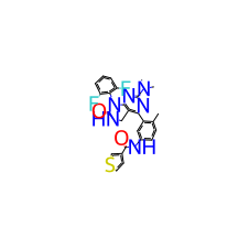 Cc1ccc(NC(=O)c2ccsc2)cc1-c1nc(N(C)C)nc2c1CNC(=O)N2c1c(F)cccc1F